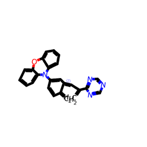 C=C(/C=c1/cc(N2c3ccccc3Oc3ccccc32)ccc1=C)c1ncncn1